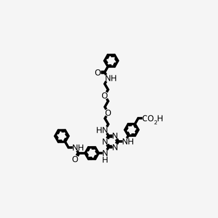 O=C(O)Cc1ccc(Nc2nc(NCCOCCOCCNC(=O)c3ccccc3)nc(Nc3ccc(C(=O)NCc4ccccc4)cc3)n2)cc1